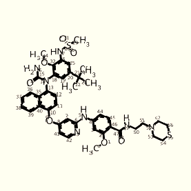 COc1cc(Nc2cc(Oc3ccc(N(C(N)=O)c4cc(C(C)(C)C)cc(NS(C)(=O)=O)c4OC)c4ccccc34)ccn2)ccc1C(=O)NCCN1CCSCC1